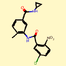 Cc1ccc(C(=O)NC2CC2)cc1NC(=O)c1cc(Cl)ccc1[N+](=O)[O-]